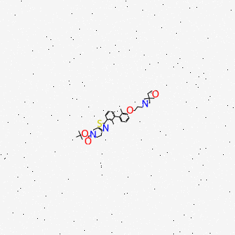 Cc1c(OCCCN2CC3(CCOC3)C2)cccc1-c1cccc(-c2nc3c(s2)CN(C(=O)OC(C)(C)C)CC3)c1C